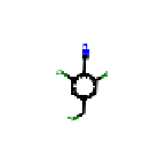 N#Cc1c(F)cc(CCl)cc1Cl